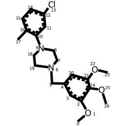 COc1cc(CN2CCN(c3cc(Cl)ccc3C)CC2)cc(OC)c1OC